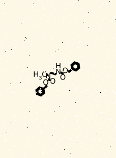 CN(CCNC(=O)OCc1ccccc1)C(=O)OCc1ccccc1